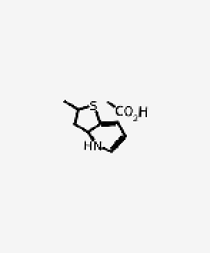 CC(=O)O.CC1CC2NC=CC=C2S1